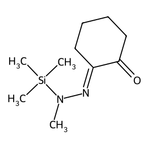 CN(N=C1CCCCC1=O)[Si](C)(C)C